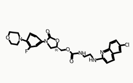 O=C(NCCNc1ccc2cc(Cl)ccc2n1)OC[C@H]1CN(c2ccc(N3CCOCC3)c(F)c2)C(=O)O1